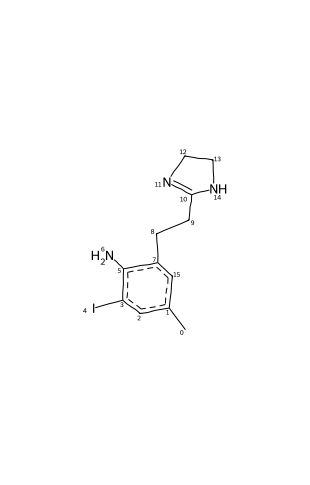 Cc1cc(I)c(N)c(CCC2=NCCN2)c1